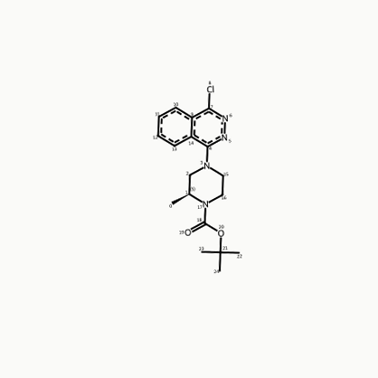 C[C@H]1CN(c2nnc(Cl)c3ccccc23)CCN1C(=O)OC(C)(C)C